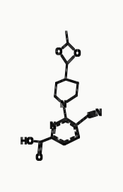 CC1OC(C2CCN(c3nc(C(=O)O)ccc3C#N)CC2)O1